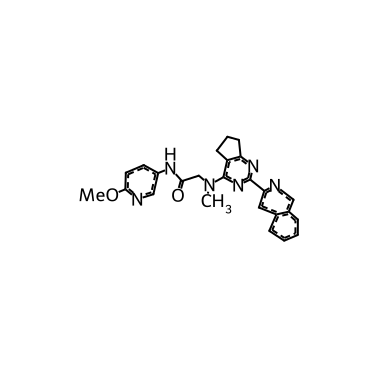 COc1ccc(NC(=O)CN(C)c2nc(-c3cc4ccccc4cn3)nc3c2CCC3)cn1